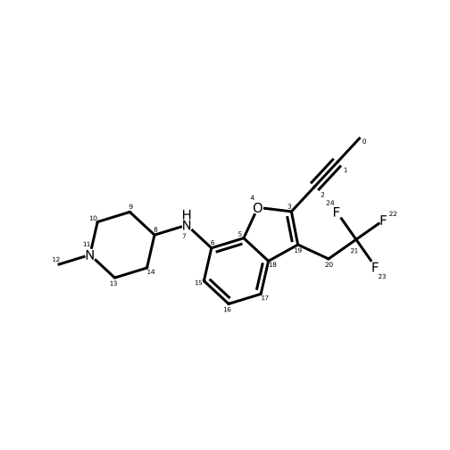 CC#Cc1oc2c(NC3CCN(C)CC3)cccc2c1CC(F)(F)F